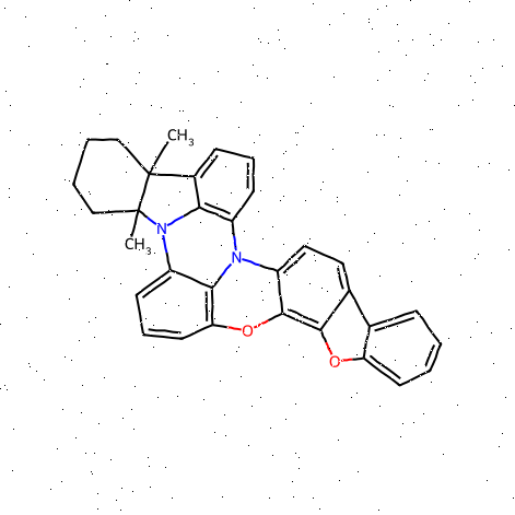 CC12CCCCC1(C)N1c3cccc4c3N(c3cccc2c31)c1ccc2c(oc3ccccc32)c1O4